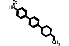 C=CC1CCC(c2ccc(-c3ccc(NCC)cc3)cc2)CC1